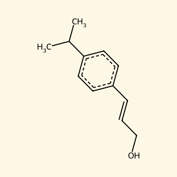 CC(C)c1ccc(/C=C/CO)cc1